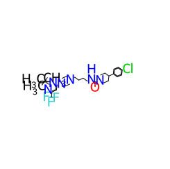 CC(C)(C)c1nc(N2CCN(CCCCNC(=O)N3CCC(c4ccc(Cl)cc4)CC3)CC2)cc(C(F)(F)F)n1